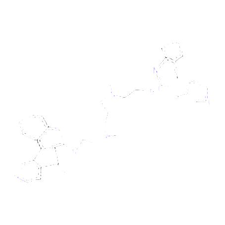 CN(CCCN(C)CCNc1nc2ccccc2c2c1C(=O)c1ccncc1-2)CCNc1nc2ccccc2c2c1C(=O)c1cnccc1-2